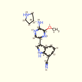 COc1nc(-c2c[nH]c3c(C#N)cccc23)cnc1N[C@@H]1CCNC1